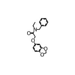 CCN(Cc1ccccc1)C(=O)COc1ccc2c(c1)OCO2